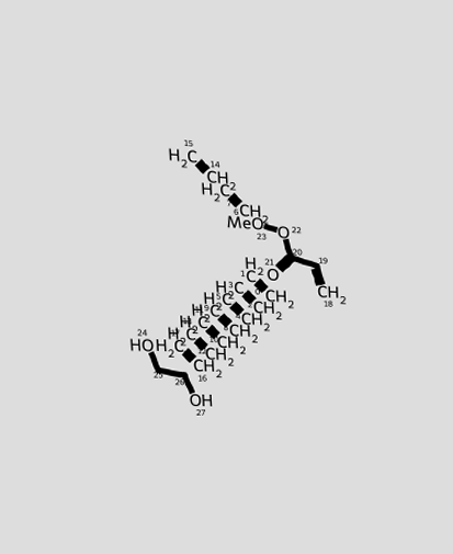 C=C.C=C.C=C.C=C.C=C.C=C.C=C.C=C.C=C.C=CC(=O)OOC.OCCO